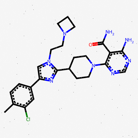 Cc1ccc(-c2cn(CCN3CCC3)c(C3CCN(c4ncnc(N)c4C(N)=O)CC3)n2)cc1Cl